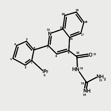 CC(C)c1ccccc1-c1cc(C(=O)NC(=N)N)c2ccccc2n1